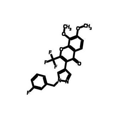 COc1ccc2c(=O)c(-c3cnn(Cc4cccc(F)c4)c3)c(C(F)(F)F)oc2c1OC